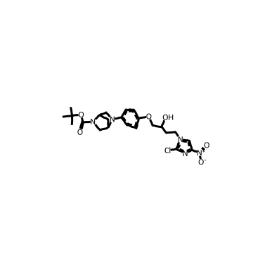 CC(C)(C)OC(=O)N1CC2CC1CN2c1ccc(OCC(O)CCn2cc([N+](=O)[O-])nc2Cl)cc1